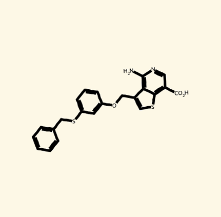 Nc1ncc(C(=O)O)c2scc(COc3cccc(SCc4ccccc4)c3)c12